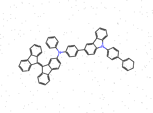 C1=CC(c2ccc(-n3c4ccccc4c4cc(-c5ccc(N(c6ccccc6)c6ccc7c(c6)C(=C6c8ccccc8-c8ccccc86)c6ccccc6-7)cc5)ccc43)cc2)=CCC1